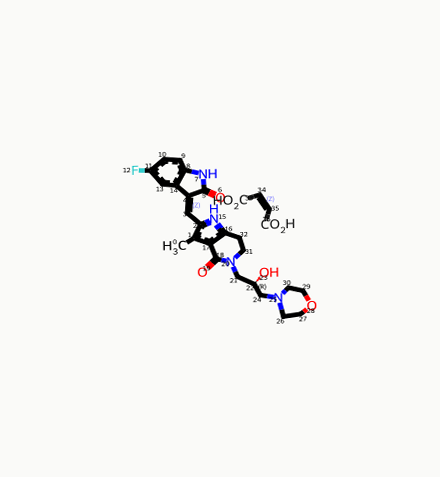 Cc1c(/C=C2\C(=O)Nc3ccc(F)cc32)[nH]c2c1C(=O)N(C[C@H](O)CN1CCOCC1)CC2.O=C(O)/C=C\C(=O)O